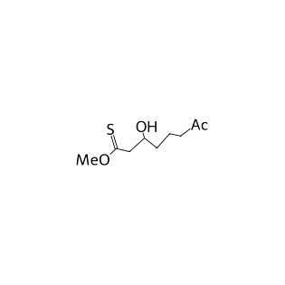 COC(=S)CC(O)CCCC(C)=O